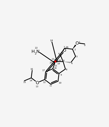 CO[C@H]1CC[C@]2(CC1)Cc1ccc(OC(C)C)cc1C21N=C(N)N(C)C1=O